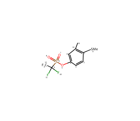 CSc1ccc(OS(=O)(=O)C(F)(F)C(F)(F)F)cc1C